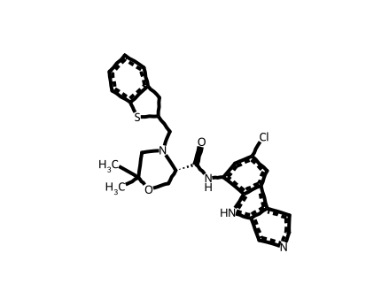 CC1(C)CN(CC2Cc3ccccc3S2)[C@H](C(=O)Nc2cc(Cl)cc3c2[nH]c2cnccc23)CO1